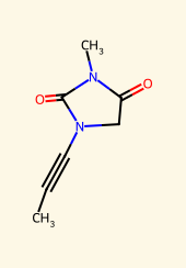 CC#CN1CC(=O)N(C)C1=O